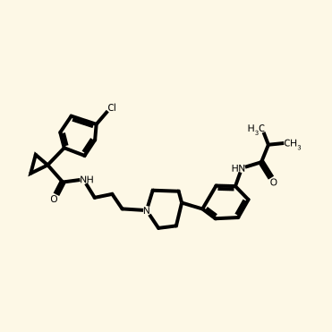 CC(C)C(=O)Nc1cccc(C2CCN(CCCNC(=O)C3(c4ccc(Cl)cc4)CC3)CC2)c1